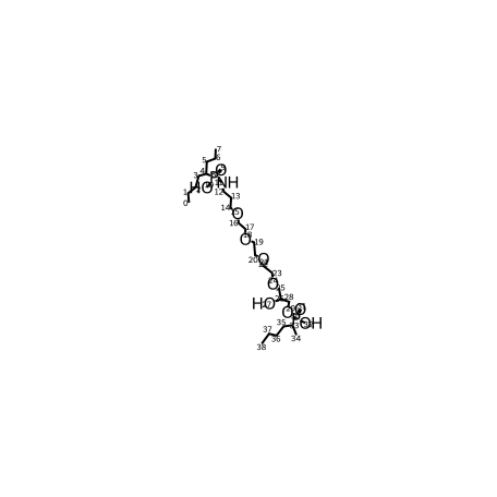 CCCCC(CCC)P(=O)(O)NCCCOCCOCCOCCOCC(O)COP(=O)(O)C(C)CCCC